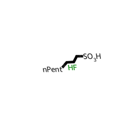 CCCCCCCCS(=O)(=O)O.F